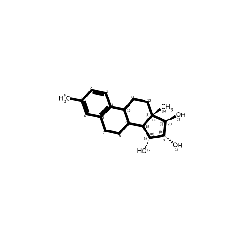 Cc1ccc2c(c1)CCC1C2CC[C@@]2(C)C1[C@@H](O)[C@@H](O)[C@@H]2O